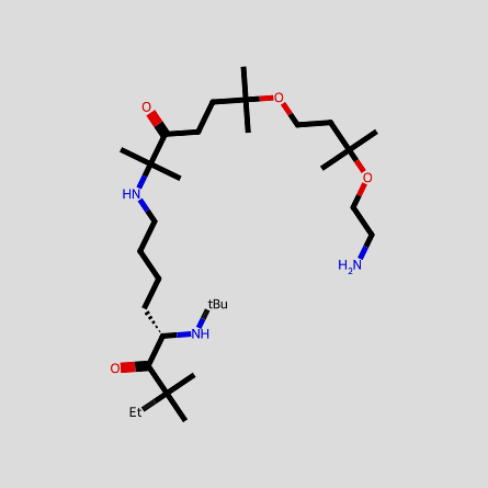 CCC(C)(C)C(=O)[C@H](CCCCNC(C)(C)C(=O)CCC(C)(C)OCCC(C)(C)OCCN)NC(C)(C)C